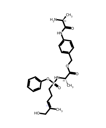 C/C(=C\CCP(=O)(N[C@@H](C)C(=O)OCc1ccc(NC(=O)[C@H](C)N)cc1)Oc1ccccc1)CO